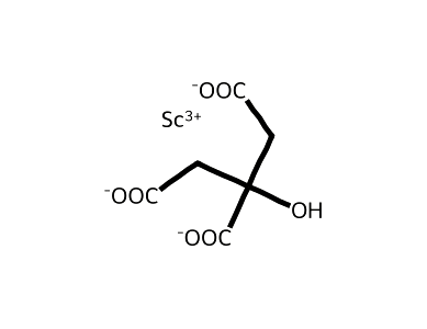 O=C([O-])CC(O)(CC(=O)[O-])C(=O)[O-].[Sc+3]